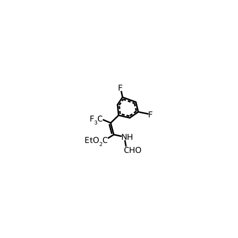 CCOC(=O)C(NC=O)=C(c1cc(F)cc(F)c1)C(F)(F)F